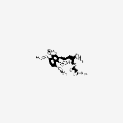 CCC(=O)SCC(C)=CCCc1cc(OC)c2c(OC)ccc(OC)c2c1OC